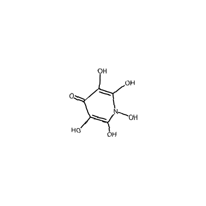 O=c1c(O)c(O)n(O)c(O)c1O